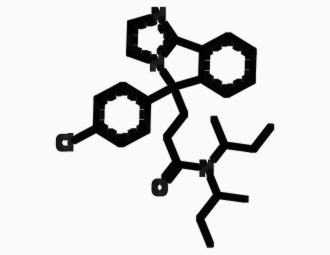 CCC(C)N(C(=O)CCC1(c2ccc(Cl)cc2)c2ccccc2-c2nccn21)C(C)CC